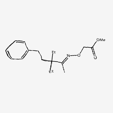 CCC(CC)(CCc1ccccc1)/C(C)=N/OCC(=O)OC